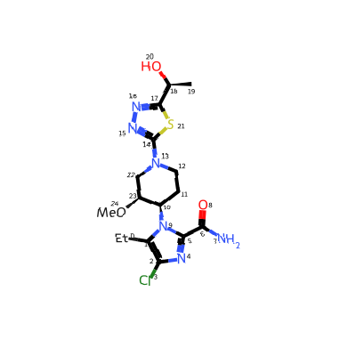 CCc1c(Cl)nc(C(N)=O)n1[C@@H]1CCN(c2nnc([C@H](C)O)s2)C[C@@H]1OC